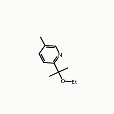 CCOC(C)(C)c1ccc(C)cn1